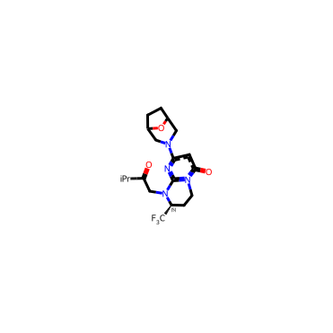 CC(C)C(=O)CN1c2nc(N3CC4CCC(C3)O4)cc(=O)n2CC[C@H]1C(F)(F)F